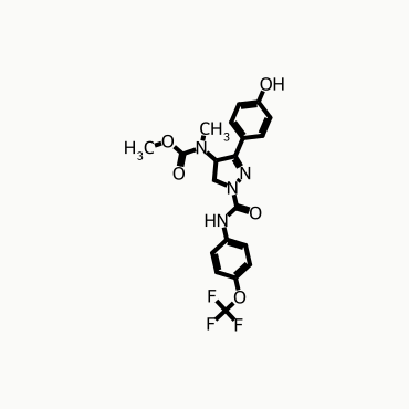 COC(=O)N(C)C1CN(C(=O)Nc2ccc(OC(F)(F)F)cc2)N=C1c1ccc(O)cc1